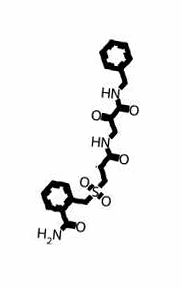 NC(=O)c1ccccc1CS(=O)(=O)C[CH]C(=O)NCC(=O)C(=O)NCc1ccccc1